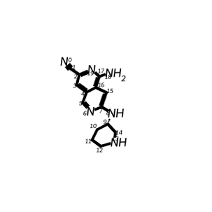 N#Cc1cc2cnc(N[C@H]3CCCNC3)cc2c(N)n1